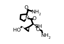 NCOB[C@H](C(=O)N1CCCC1C(N)=O)[C@H]1C[C@@H]1CO